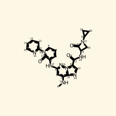 CNc1cc(Nc2cccn(-c3ccccn3)c2=O)nn2c(C(=O)N[C@@H]3CN(C4CC4)C3=O)cnc12